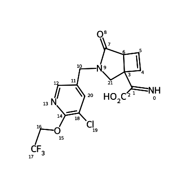 N=C(C(=O)O)C12C=CC1C(=O)N(Cc1cnc(OCC(F)(F)F)c(Cl)c1)C2